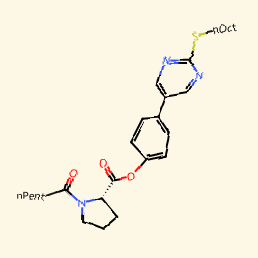 CCCCCCCCSc1ncc(-c2ccc(OC(=O)[C@@H]3CCCN3C(=O)CCCCC)cc2)cn1